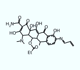 C=CC=Nc1ccc2c(c1O)C(=O)C1=C(O)C3(O)C(=O)C(C(N)=O)=C(O)C(N(C)C)C3C(OC(=O)CC)C1C2C